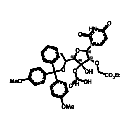 CCOC(=O)CO[C@H]1[C@H](n2ccc(=O)[nH]c2=O)O[C@H](C(C)OC(c2ccccc2)(c2ccc(OC)cc2)c2ccc(OC)cc2)[C@@]1(O)O[PH](=O)O